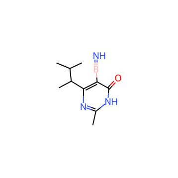 Cc1nc(C(C)C(C)C)c(B=N)c(=O)[nH]1